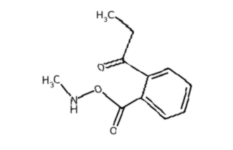 CCC(=O)c1ccccc1C(=O)ONC